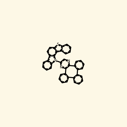 c1ccc2c(c1)-c1ccccc1-c1ncc(-n3c4ccccc4c4ccc5sc6ccccc6c5c43)nc1-c1ccccc1-2